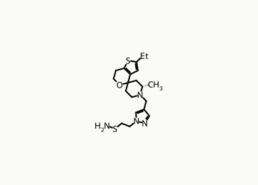 CCc1cc2c(s1)CCOC21CCN(Cc2cnn(CCSN)c2)[C@@H](C)C1